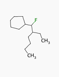 CCCCC(CC)C(F)C1CCCCC1